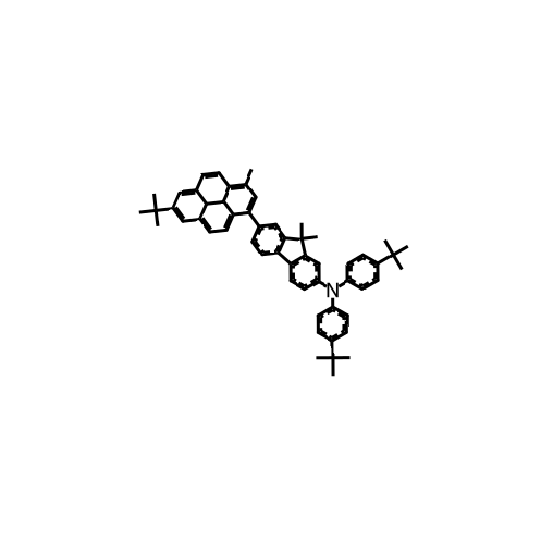 CC1=C2C=CC3=CC(C(C)(C)C)=CC4=CC=C(C(c5ccc6c(c5)C(C)(C)c5cc(N(c7ccc(C(C)(C)C)cc7)c7ccc(C(C)(C)C)cc7)ccc5-6)=C1)C2C43